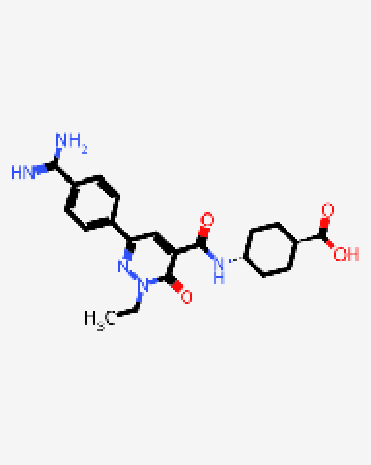 CCn1nc(-c2ccc(C(=N)N)cc2)cc(C(=O)N[C@H]2CC[C@H](C(=O)O)CC2)c1=O